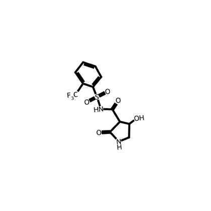 O=C1NCC(O)C1C(=O)NS(=O)(=O)c1ccccc1C(F)(F)F